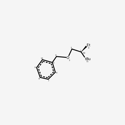 CC[C@H](COCc1ccccc1)C(C)(C)C